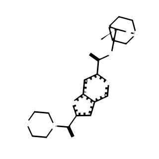 O=C(N[C@H]1CN2CCC1CC2)c1cc2sc(C(=O)N3CCNCC3)cc2cn1